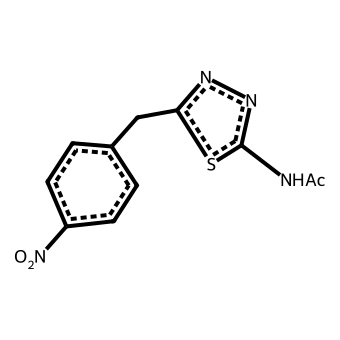 CC(=O)Nc1nnc(Cc2ccc([N+](=O)[O-])cc2)s1